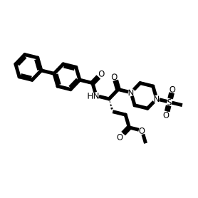 COC(=O)CC[C@H](NC(=O)c1ccc(-c2ccccc2)cc1)C(=O)N1CCN(S(C)(=O)=O)CC1